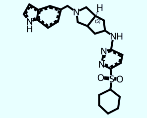 O=S(=O)(c1ccc(NC2CC3CN(Cc4ccc5[nH]ccc5c4)C[C@H]3C2)nn1)C1CCCCC1